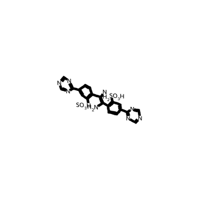 NC(=C(N)c1ccc(-c2ncncn2)cc1S(=O)(=O)O)c1ccc(-c2ncncn2)cc1S(=O)(=O)O